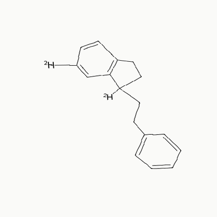 [2H]c1ccc2c(c1)C([2H])(CCc1ccccc1)CC2